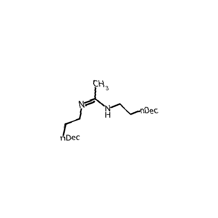 CCCCCCCCCCCCN=C(C)NCCCCCCCCCCCC